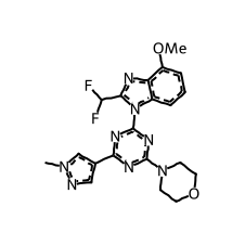 COc1cccc2c1nc(C(F)F)n2-c1nc(-c2cnn(C)c2)nc(N2CCOCC2)n1